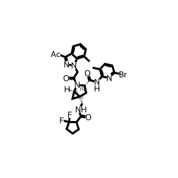 CC(=O)c1nn(CC(=O)N2[C@H](C(=O)Nc3nc(Br)ccc3C)C[C@@]3(CNC(=O)C4CCCC4(F)F)C[C@@H]23)c2c(C)cccc12